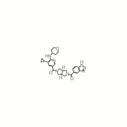 O=C(c1cnc(NC2CCOCC2)c(C2CC2)c1)N1C[C@H]2CN(C(=O)c3ccc4[nH]nnc4c3)C[C@@H]2C1